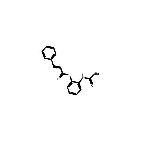 CC(C)(C)C(=O)Nc1ccccc1SC(=O)/C=C/c1ccccc1